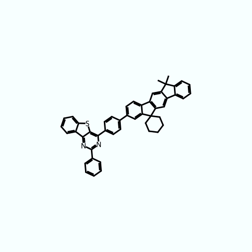 CC1(C)c2ccccc2-c2cc3c(cc21)-c1ccc(-c2ccc(-c4nc(-c5ccccc5)nc5c4sc4ccccc45)cc2)cc1C31CCCCC1